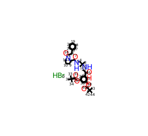 Br.CC(C)(CNC(=O)C1CCCN1C(=O)Cc1ccccc1)NCC(O)c1cc(OC(=O)C(C)(C)C)cc(OC(=O)C(C)(C)C)c1